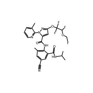 Cc1cccnc1-n1nc(OC(F)(F)C(F)OCF)cc1C(=O)Nc1c(C)cc(C#N)cc1C(=O)NC(C)C